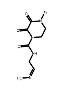 CCN1CCN(C(=O)NC/C=N\O)C(=O)C1=O